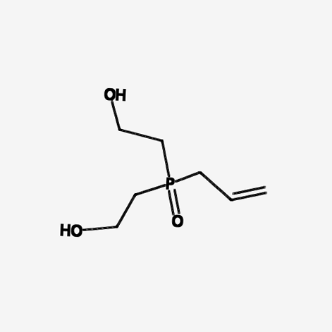 C=CCP(=O)(CCO)CCO